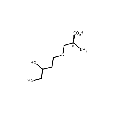 N[C@@H](CSCCC(O)CO)C(=O)O